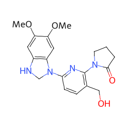 COc1cc2c(cc1OC)N(c1ccc(CO)c(N3CCCC3=O)n1)CN2